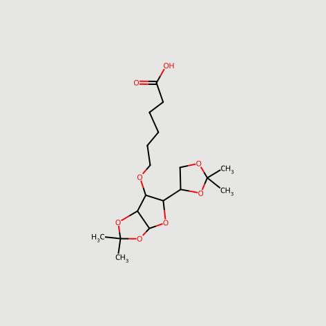 CC1(C)OCC(C2OC3OC(C)(C)OC3C2OCCCCCC(=O)O)O1